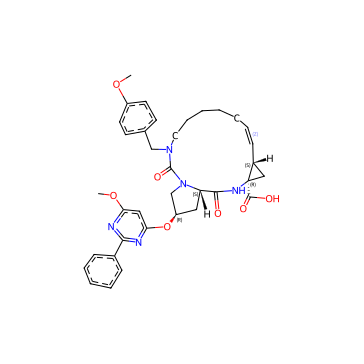 COc1ccc(CN2CCCCC/C=C\[C@@H]3C[C@@]3(C(=O)O)NC(=O)[C@@H]3C[C@@H](Oc4cc(OC)nc(-c5ccccc5)n4)CN3C2=O)cc1